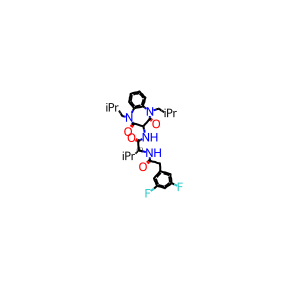 CC(C)CN1C(=O)C(NC(=O)[C@@H](NC(=O)Cc2cc(F)cc(F)c2)C(C)C)C(=O)N(CC(C)C)c2ccccc21